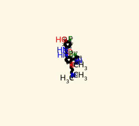 CN(C)CCCOc1ccc(NC(=O)Nc2ccc(F)c(O)c2)cc1-c1c(Br)cnn1C